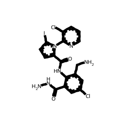 NCc1cc(Cl)cc(C(=O)NN)c1NC(=O)c1ccc(I)n1-c1ncccc1Cl